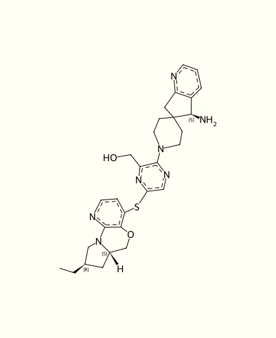 CC[C@@H]1C[C@H]2COc3c(Sc4cnc(N5CCC6(CC5)Cc5ncccc5[C@H]6N)c(CO)n4)ccnc3N2C1